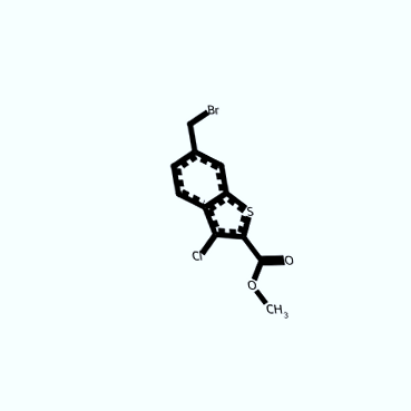 COC(=O)c1sc2cc(CBr)ccc2c1Cl